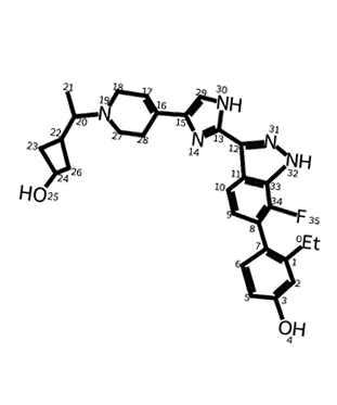 CCc1cc(O)ccc1-c1ccc2c(-c3nc(C4=CCN(C(C)C5CC(O)C5)CC4)c[nH]3)n[nH]c2c1F